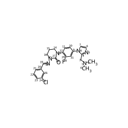 CN(C)Cc1nccn1-c1ccc(N2CCCN(/N=C/c3cccc(Cl)c3)C2=O)c(F)c1